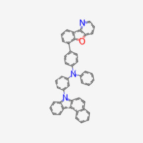 c1ccc(N(c2ccc(-c3cccc4c3oc3cccnc34)cc2)c2cccc(-n3c4ccccc4c4c5ccccc5ccc43)c2)cc1